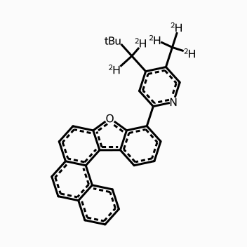 [2H]C([2H])([2H])c1cnc(-c2cccc3c2oc2ccc4ccc5ccccc5c4c23)cc1C([2H])([2H])C(C)(C)C